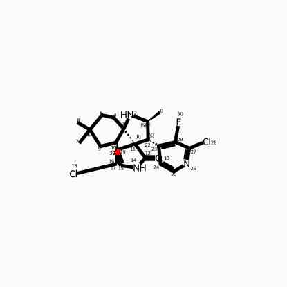 C[C@@H]1NC2(CCC(C)(C)CC2)[C@@]2(C(=O)Nc3cc(Cl)ccc32)[C@H]1c1ccnc(Cl)c1F